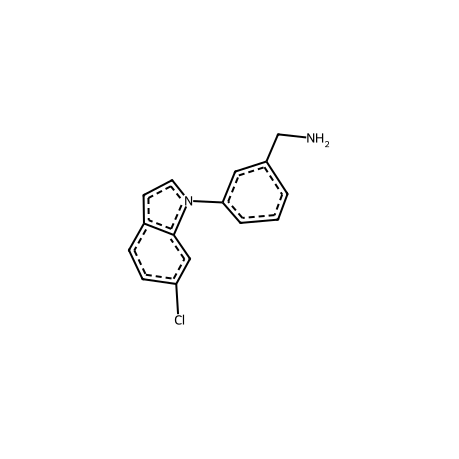 NCc1cccc(-n2ccc3ccc(Cl)cc32)c1